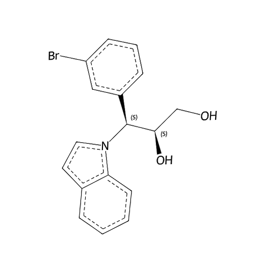 OC[C@@H](O)[C@H](c1cccc(Br)c1)n1ccc2ccccc21